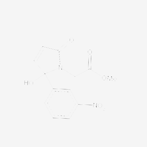 COC(=O)CN1C(=O)C=CC1(O)c1cccc([N+](=O)[O-])c1